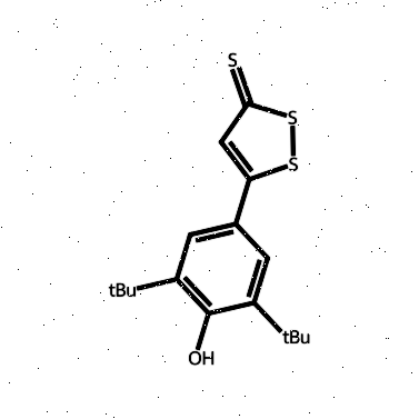 CC(C)(C)c1cc(-c2cc(=S)ss2)cc(C(C)(C)C)c1O